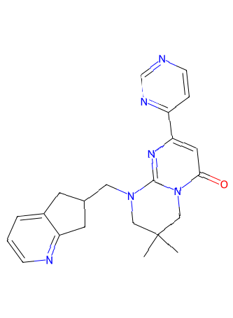 CC1(C)CN(CC2Cc3cccnc3C2)c2nc(-c3ccncn3)cc(=O)n2C1